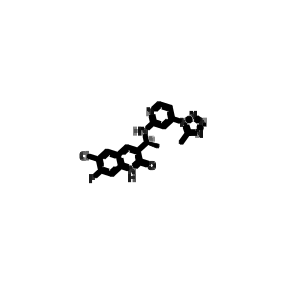 Cc1nnnn1-c1ccnc(N[C@@H](C)c2cc3cc(Cl)c(F)cc3[nH]c2=O)c1